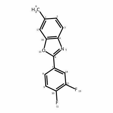 Cc1ccc2nc(-c3ccc(F)c(F)c3)oc2c1